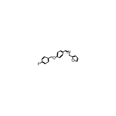 Fc1ccc(COc2ccc(/C=N\Cc3ccco3)cc2)cc1